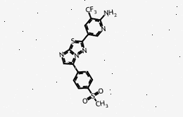 CS(=O)(=O)c1ccc(-c2cnc3sc(-c4cnc(N)c(C(F)(F)F)c4)nn23)cc1